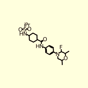 CC1CN(c2ccc(NC(=O)C3CCC(NS(=O)(=O)C(C)C)CC3)cc2)C(F)C(C)O1